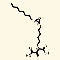 C=C(C(=O)O)[C@@H](CCCCCC[C@H]1O[C@@H]1CCCCCCCC)C(=O)O